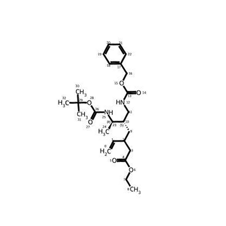 C=CC(CC(=O)OCC)C[C@@H](CNC(=O)OCc1ccccc1)[C@@H](C)NC(=O)OC(C)(C)C